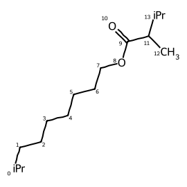 CC(C)CCCCCCCOC(=O)C(C)C(C)C